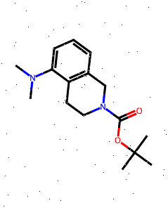 CN(C)c1cccc2c1CCN(C(=O)OC(C)(C)C)C2